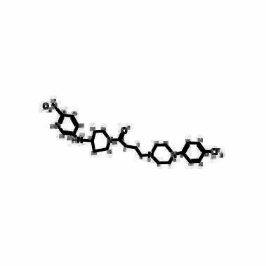 O=C(CCCN1CCN(c2ccc(C(F)(F)F)cc2)CC1)N1CCC(Nc2ccc([N+](=O)[O-])nc2)CC1